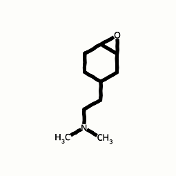 CN(C)CCC1CCC2OC2C1